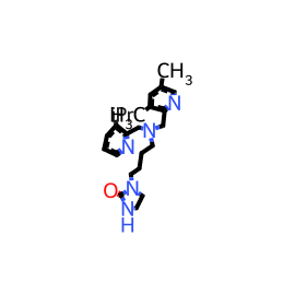 Cc1cnc(CN(CCCCN2CCNC2=O)Cc2ncccc2C(C)C)c(C)c1